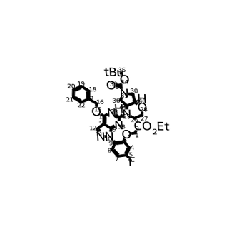 CCOC(=O)COc1cc(F)ccc1-n1ncc2c(OCc3ccccc3)nc(N3CCO[C@@H]4CN(C(=O)OC(C)(C)C)C[C@@H]43)nc21